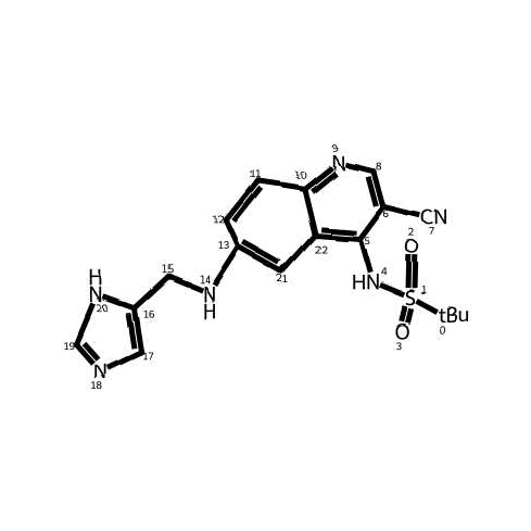 CC(C)(C)S(=O)(=O)Nc1c(C#N)cnc2ccc(NCc3cnc[nH]3)cc12